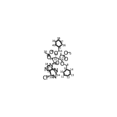 COC(=O)C[C@@]1(COCc2ccccc2)O[C@@H](n2cnc3c(Cl)ncnc32)[C@H](OC(C)=O)[C@@H]1OCc1ccccc1